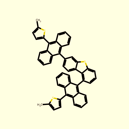 Cc1ccc(-c2c3ccccc3c(-c3ccc4c(c3)sc3cccc(-c5c6ccccc6c(-c6ccc(C)s6)c6ccccc56)c34)c3ccccc23)s1